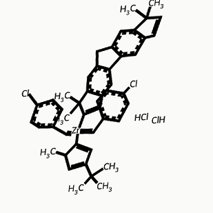 CC1C=C(C(C)(C)C)C=[C]1[Zr](=[CH]c1ccc(Cl)cc1)(=[CH]c1ccc(Cl)cc1)[C]1=Cc2cc3c(cc2C1(C)C)Cc1cc2c(cc1-3)C=CC2(C)C.Cl.Cl